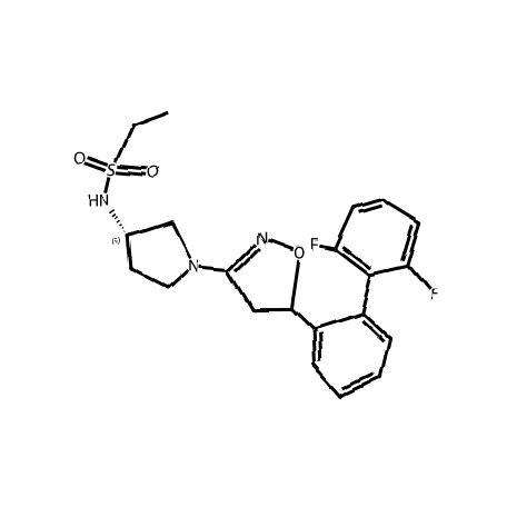 CCS(=O)(=O)N[C@H]1CCN(C2=NOC(c3ccccc3-c3c(F)cccc3F)C2)C1